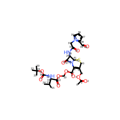 CC(=O)OCC1=C(C(=O)OCOC(=O)C(NC(=O)OC(C)(C)C)C(C)C)N2C(=O)C(NC(=O)Cn3cccc3C=O)C2SC1